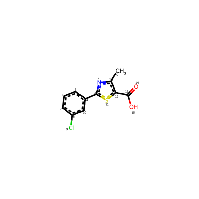 Cc1nc(-c2cccc(Cl)c2)sc1C(=O)O